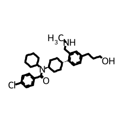 CNCc1cc(CCCO)ccc1[C@H]1CC[C@H](N(C(=O)c2ccc(Cl)cc2)C2CCCCC2)CC1